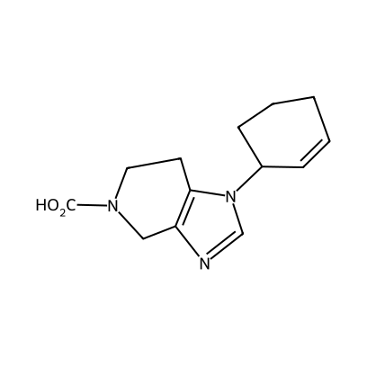 O=C(O)N1CCc2c(ncn2C2C=CCCC2)C1